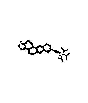 CC(C)[Si](C#Cc1ccc2cc3c(ccc4c5ccsc5ccc34)cc2c1)(C(C)C)C(C)C